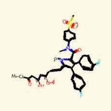 COC(=O)C[C@H](O)C[C@@H](O)C=Cc1c(-c2ccc(F)cc2)c(-c2ccc(F)cc2)c(C(=O)N(C)c2ccc(S(C)(=O)=O)cc2)n1C(C)C